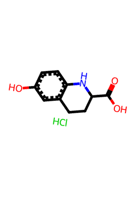 Cl.O=C(O)C1CCc2cc(O)ccc2N1